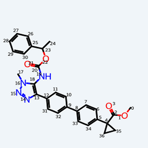 COC(=O)C1(c2ccc(-c3ccc(-c4nnn(C)c4NC(=O)OC(C)c4ccccc4)cc3)cc2)CC1